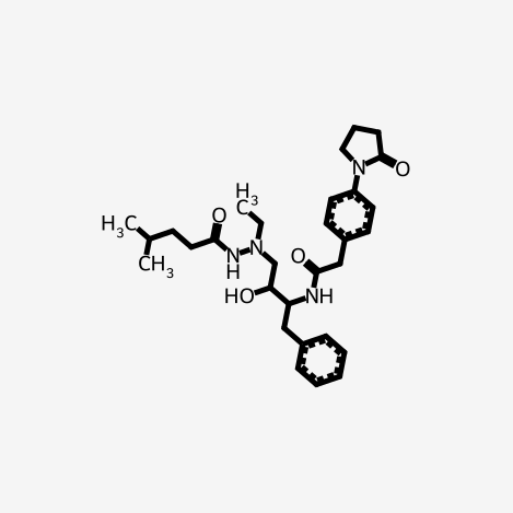 CCN(CC(O)C(Cc1ccccc1)NC(=O)Cc1ccc(N2CCCC2=O)cc1)NC(=O)CCC(C)C